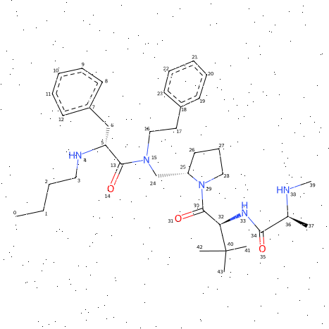 CCCCN[C@H](Cc1ccccc1)C(=O)N(CCc1ccccc1)C[C@@H]1CCCN1C(=O)[C@@H](NC(=O)[C@H](C)NC)C(C)(C)C